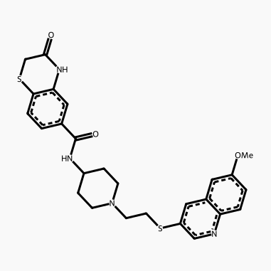 COc1ccc2ncc(SCCN3CCC(NC(=O)c4ccc5c(c4)NC(=O)CS5)CC3)cc2c1